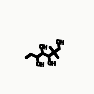 CCC(O)C(O)C(O)C(C)(C)CO